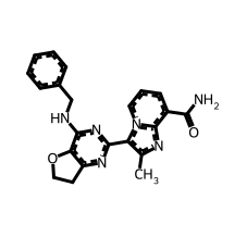 Cc1nc2c(C(N)=O)cccn2c1-c1nc2c(c(NCc3ccccc3)n1)OCC2